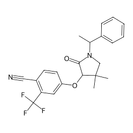 CC(c1ccccc1)N1CC(C)(C)C(Oc2ccc(C#N)c(C(F)(F)F)c2)C1=O